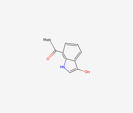 CNC(=O)c1cccc2c(O)c[nH]c12